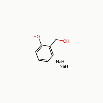 OCc1ccccc1O.[NaH].[NaH]